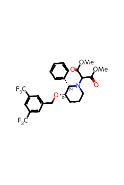 COC(=O)C(C(=O)OC)N1CCC[C@H](OCc2cc(C(F)(F)F)cc(C(F)(F)F)c2)[C@@H]1c1ccccc1